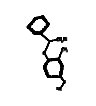 CCOC(=O)C(Oc1ccc(SC#N)cc1C)c1ccccc1